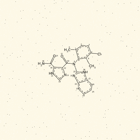 Cc1ccc(Cl)c(C)c1N(C(=O)c1nc[nH]c1C(N)=O)c1nc2ccccc2[nH]1